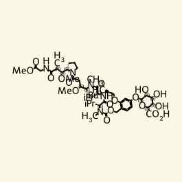 C#CCOc1cc(O[C@@H]2O[C@H](C(=O)O)[C@@H](O)[C@H](O)[C@H]2O)ccc1COC(=O)N(C)[C@H](C(=O)N[C@H](C(=O)N(C)[C@@H](C(C)CC)[C@@H](CC(=O)N1CCC[C@H]1[C@H](OC)[C@@H](C)C(=O)NCC(=O)OC)OC)C(C)C)C(C)C